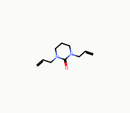 C=CCN1CCCN(CC=C)C1=O